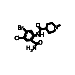 CN1CCC(C(=O)Nc2cc(Br)c(Cl)cc2C(N)=O)CC1